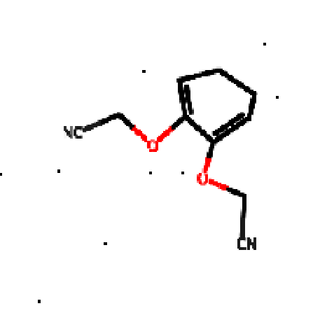 N#CCOC1=CCCC=C1OCC#N